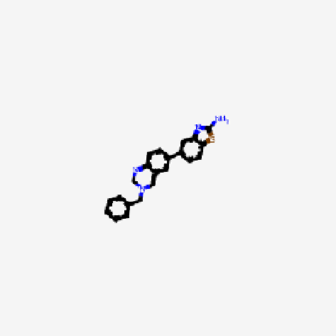 Nc1nc2cc(-c3ccc4c(c3)=CN(Cc3ccccc3)CN=4)ccc2s1